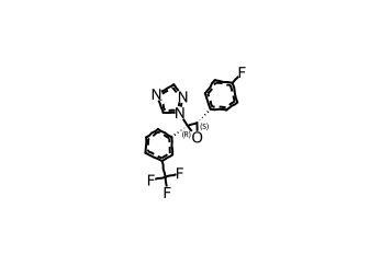 Fc1ccc([C@@H]2O[C@@]2(c2cccc(C(F)(F)F)c2)n2cncn2)cc1